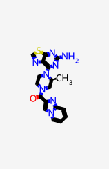 C[C@H]1CN(C(=O)c2cn3ccccc3n2)CCN1c1nc(N)nc2scnc12